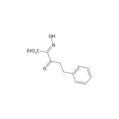 CCOC(=O)C(=NO)C(=O)CCc1ccccc1